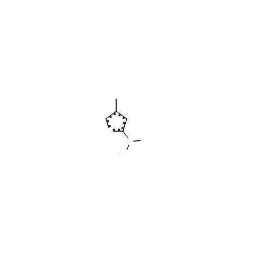 Cc1coc(B(O)O)c1